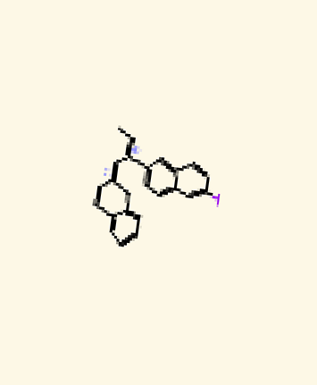 C/C=C(\C=C1\C=Cc2ccccc2C1)c1ccc2cc(I)ccc2c1